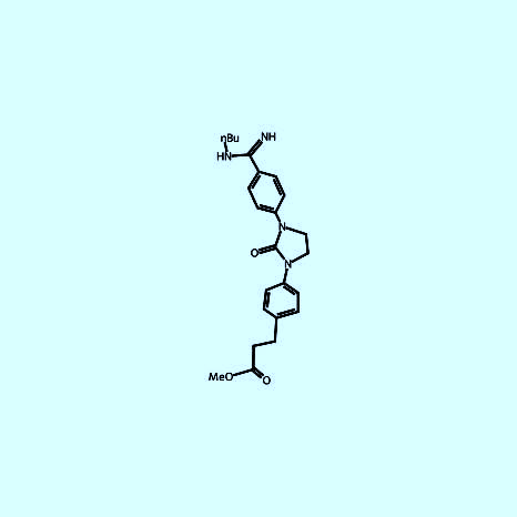 CCCCNC(=N)c1ccc(N2CCN(c3ccc(CCC(=O)OC)cc3)C2=O)cc1